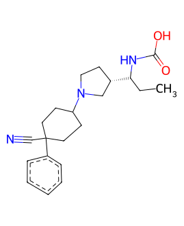 CCC(NC(=O)O)[C@H]1CCN(C2CCC(C#N)(c3ccccc3)CC2)C1